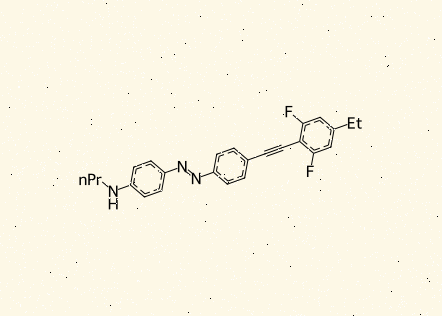 CCCNc1ccc(N=Nc2ccc(C#Cc3c(F)cc(CC)cc3F)cc2)cc1